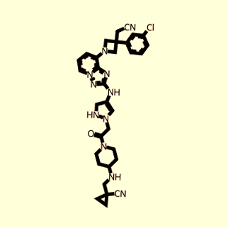 N#CCC1(c2cccc(Cl)c2)CN(c2cccn3nc(NC4=CN(CC(=O)N5CCC(NCC6(C#N)CC6)CC5)NC4)nc23)C1